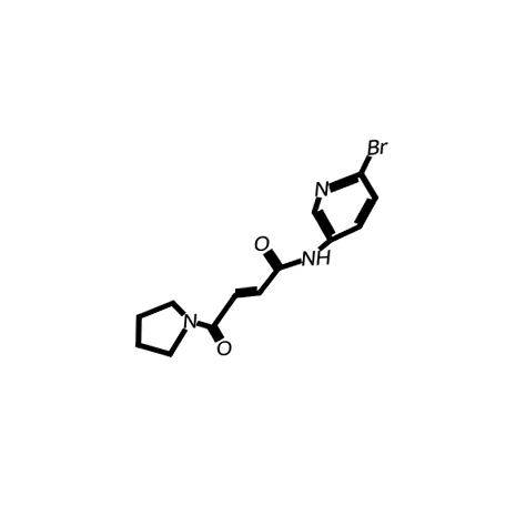 O=C(C=CC(=O)N1CCCC1)Nc1ccc(Br)nc1